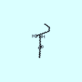 CCCCC/C=C\C/C=C\CCCCCCCC(CCO)NCCCCCCCC(=O)OCCCCCCCCC